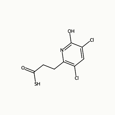 O=C(S)CCc1nc(O)c(Cl)cc1Cl